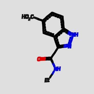 CCNC(=O)c1n[nH]c2ccc(C(=O)O)cc12